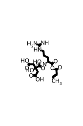 CC=CC(=O)OC(=O)[C@@H](N)CCCNC(=N)N.O=C(O)CC(O)(CC(=O)O)C(=O)O